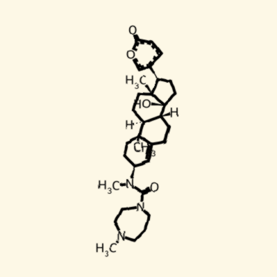 CN1CCCN(C(=O)N(C)[C@@H]2C=C3CC[C@@H]4[C@H](CC[C@]5(C)[C@@H](c6ccc(=O)oc6)CC[C@]45O)[C@@]3(C)CC2)CC1